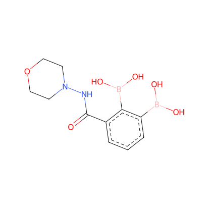 O=C(NN1CCOCC1)c1cccc(B(O)O)c1B(O)O